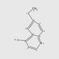 CCc1ccc2nccc(I)c2c1